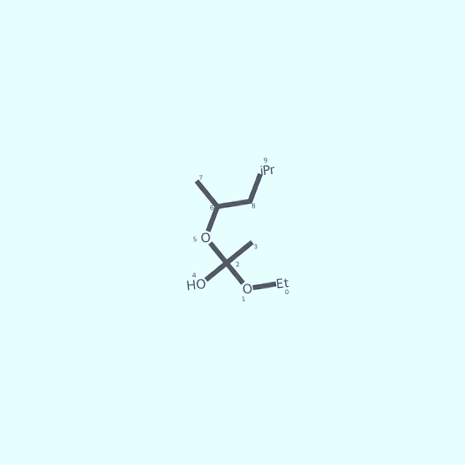 CCOC(C)(O)OC(C)CC(C)C